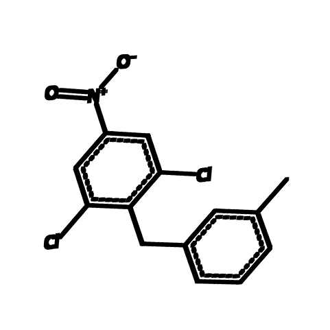 Cc1cccc(Cc2c(Cl)cc([N+](=O)[O-])cc2Cl)c1